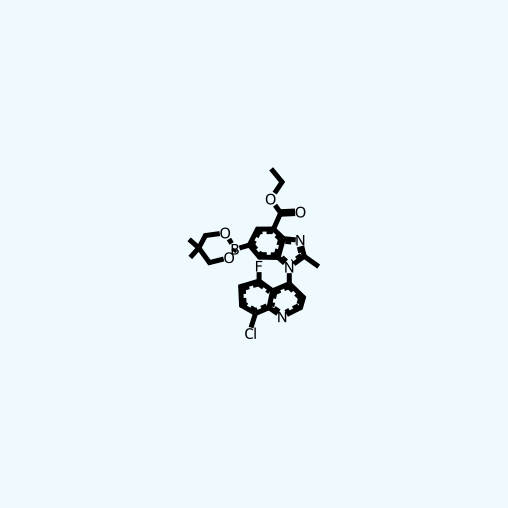 CCOC(=O)c1cc(B2OCC(C)(C)CO2)cc2c1nc(C)n2-c1ccnc2c(Cl)ccc(F)c12